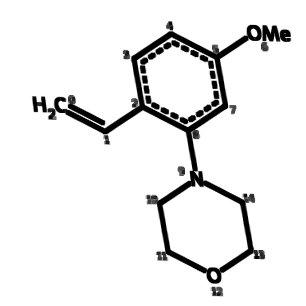 C=Cc1ccc(OC)cc1N1CCOCC1